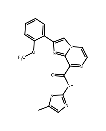 Cc1cnc(NC(=O)c2nccn3cc(-c4ccccc4OC(F)(F)F)nc23)s1